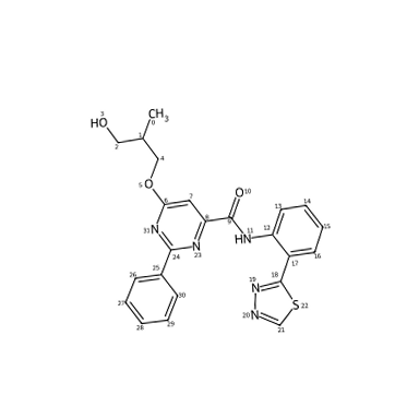 CC(CO)COc1cc(C(=O)Nc2ccccc2-c2nncs2)nc(-c2ccccc2)n1